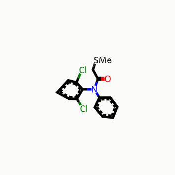 CSCC(=O)N(c1ccccc1)c1c(Cl)cccc1Cl